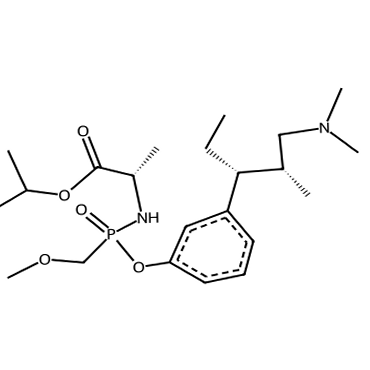 CC[C@@H](c1cccc(OP(=O)(COC)N[C@@H](C)C(=O)OC(C)C)c1)[C@@H](C)CN(C)C